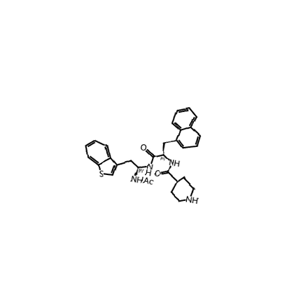 CC(=O)N[C@@H](Cc1csc2ccccc12)NC(=O)[C@@H](Cc1cccc2ccccc12)NC(=O)C1CCNCC1